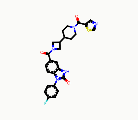 O=C(c1ccc2c(c1)[nH]c(=O)n2-c1ccc(F)cc1)N1CC(C2CCN(C(=O)c3cncs3)CC2)C1